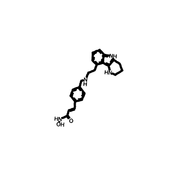 O=C(/C=C/c1ccc(CNCCc2cccc3[nH]c4c(c23)NCCC4)cc1)NO